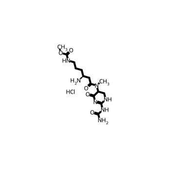 COC(=O)NCCC[C@H](N)CC(=O)N(C)C1CNC(NC(N)=O)=NC1=O.Cl